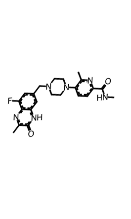 CNC(=O)c1ccc(N2CCN(Cc3cc(F)c4nc(C)c(=O)[nH]c4c3)CC2)c(C)n1